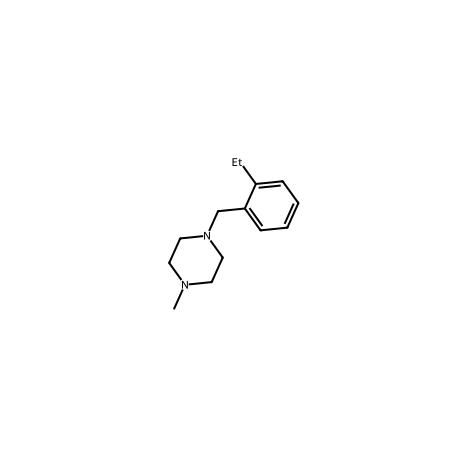 CCc1ccccc1CN1CCN(C)CC1